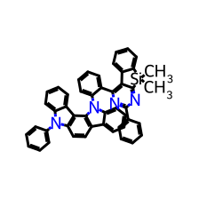 C[Si]1(C)c2ccccc2-c2c(-c3ccccc3-n3c4ccccc4c4ccc5c(c6ccccc6n5-c5ccccc5)c43)nc(-c3ccccc3)nc21